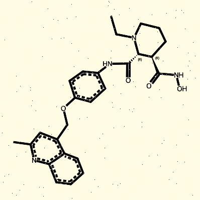 CCN1CCC[C@@H](C(=O)NO)[C@@H]1C(=O)Nc1ccc(OCc2cc(C)nc3ccccc23)cc1